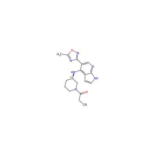 Cc1nc(-c2cnc3[nH]ccc3c2N[C@@H]2CCCN(C(=O)CC#N)C2)no1